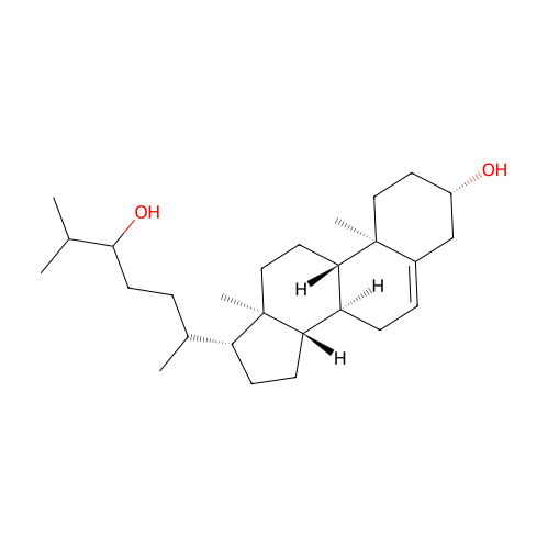 CC(C)C(O)CCC(C)[C@H]1CC[C@H]2[C@@H]3CC=C4C[C@@H](O)CC[C@]4(C)[C@H]3CC[C@]12C